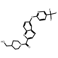 O=C(c1ccc2cc(Oc3ccc(C(F)(F)F)cn3)ccc2n1)N1CCC(CO)CC1